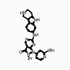 CC(C)n1c(=O)c2cnc(Nc3ccc4c5c([nH]c4c3)CCNC5)nc2n1-c1ccnc(C(C)(C)C)c1